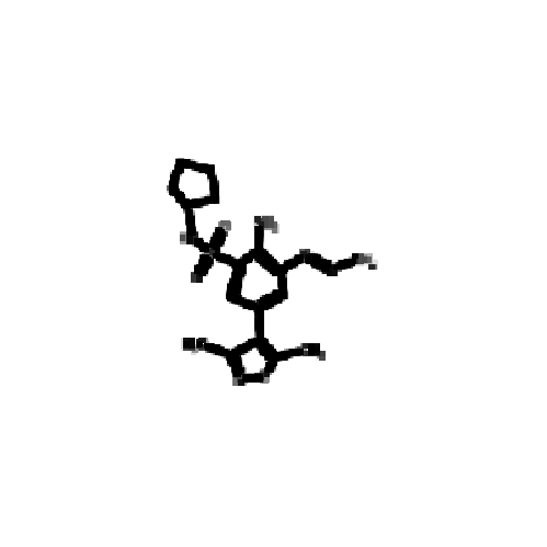 Cc1noc(C)c1-c1cc(N=NN)c(N)c(S(=O)(=O)NC2CCCC2)c1